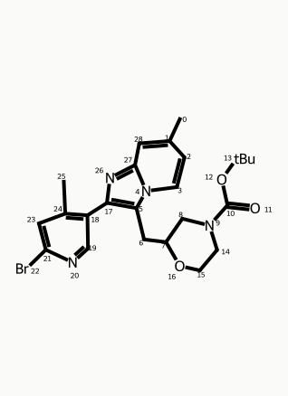 Cc1ccn2c(CC3CN(C(=O)OC(C)(C)C)CCO3)c(-c3cnc(Br)cc3C)nc2c1